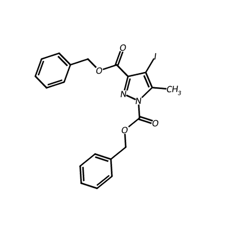 Cc1c(I)c(C(=O)OCc2ccccc2)nn1C(=O)OCc1ccccc1